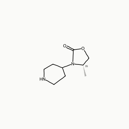 C[C@H]1COC(=O)N1C1CCNCC1